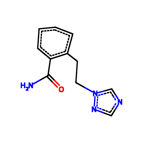 NC(=O)c1ccccc1CCn1cncn1